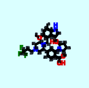 COc1cc(C)c2[nH]ccc2c1CN1CCN(CCC(F)(F)F)C[C@H]1c1ccc(C(=O)O)c(N2CCCC2O)c1